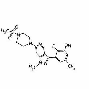 Cn1nc(-c2cc(C(F)(F)F)cc(O)c2F)c2cnc(N3CCN(S(C)(=O)=O)CC3)cc21